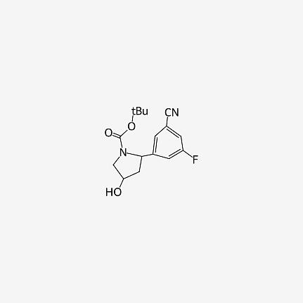 CC(C)(C)OC(=O)N1CC(O)CC1c1cc(F)cc(C#N)c1